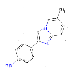 Cc1ccc2nc(-c3ccc(N)cc3)cn2c1